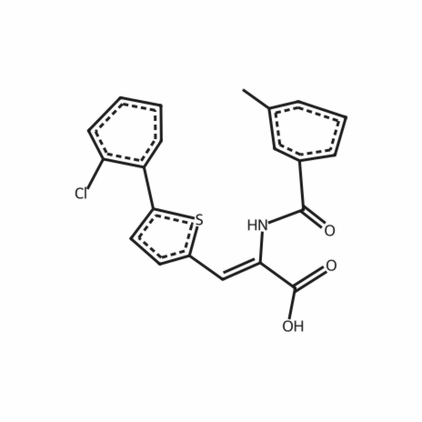 Cc1cccc(C(=O)N/C(=C\c2ccc(-c3ccccc3Cl)s2)C(=O)O)c1